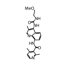 COCCNC(=O)Nc1c(C)cnc2c(NC(=O)c3c(C)ccnc3C)cccc12